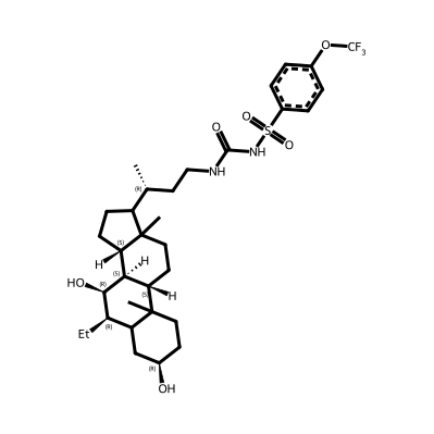 CC[C@@H]1C2C[C@H](O)CCC2(C)[C@H]2CCC3(C)C([C@H](C)CCNC(=O)NS(=O)(=O)c4ccc(OC(F)(F)F)cc4)CC[C@H]3[C@@H]2[C@@H]1O